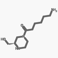 NCCCCCC(=O)N1CCN[C@H](CO)C1